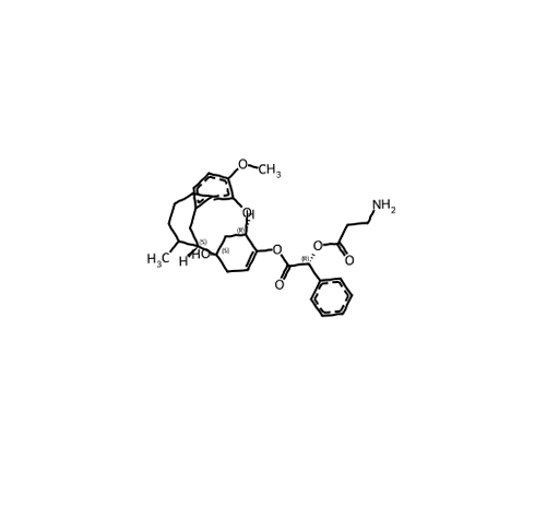 COc1ccc2c3c1O[C@@H]1C[C@@](O)(CC=C1OC(=O)[C@H](OC(=O)CCN)c1ccccc1)[C@@H](C2)C(C)CCC3